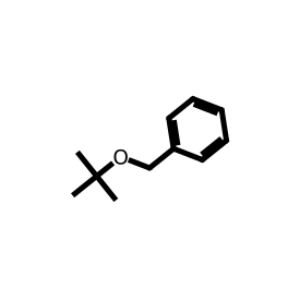 CC(C)(C)OCc1ccccc1